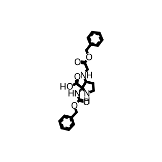 O=C(CNC1CCN[C@]1(NC(=O)OCc1ccccc1)C(=O)O)OCc1ccccc1